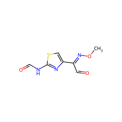 CON=C([C]=O)c1csc(NC=O)n1